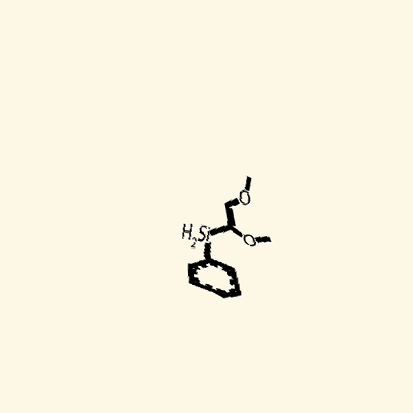 COC=C(OC)[SiH2]c1ccccc1